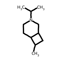 CC1CC2CN(C(C)C)CCC12